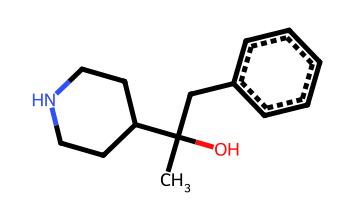 CC(O)(Cc1ccccc1)C1CCNCC1